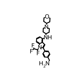 NCc1ccc(-c2cc3c(NC4CCN(C5CCOCC5)CC4)cccc3n2C(F)C(F)F)cc1